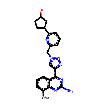 COc1cccc2c(-c3cn(Cc4cccc(C5CCC(O)C5)n4)nn3)nc(N)nc12